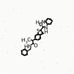 CC(C(=O)NCc1ccccc1)c1ccc2cc(C(=O)Nc3ccccc3N)sc2c1